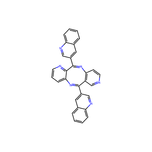 c1cnc2c(c1)/N=C(/c1cnc3ccccc3c1)c1cnccc1/N=C\2c1cnc2ccccc2c1